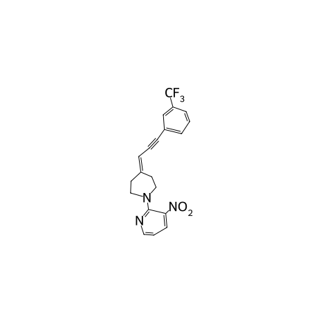 O=[N+]([O-])c1cccnc1N1CCC(=CC#Cc2cccc(C(F)(F)F)c2)CC1